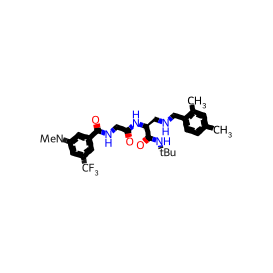 CNc1cc(C(=O)NCC(=O)N[C@@H](CNCc2ccc(C)cc2C)C(=O)NC(C)(C)C)cc(C(F)(F)F)c1